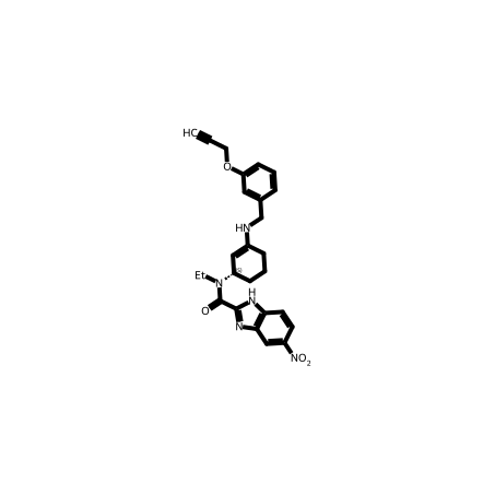 C#CCOc1cccc(CNC2=C[C@@H](N(CC)C(=O)c3nc4cc([N+](=O)[O-])ccc4[nH]3)CCC2)c1